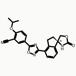 CC(C)Oc1ccc(-c2nc(-c3cccc4c3CC[C@]43COC(=O)N3)no2)cc1C#N